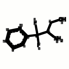 NC(CO)C(F)(F)c1ccccn1